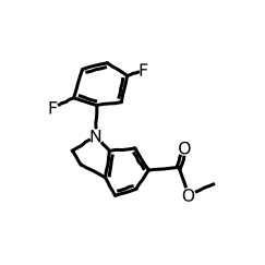 COC(=O)c1ccc2c(c1)N(c1cc(F)ccc1F)CC2